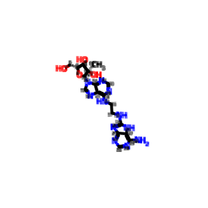 C[C@@]1(O)[C@H](O)[C@@H](CO)O[C@H]1n1cnc2c(NCCNc3nc4ncnc(N)c4[nH]3)ncnc21